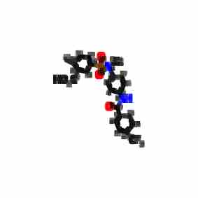 CCN(c1ccc(NC(=O)c2ccc(C(F)(F)F)cc2)cc1)S(=O)(=O)c1ccc(C)c(C(=O)O)c1